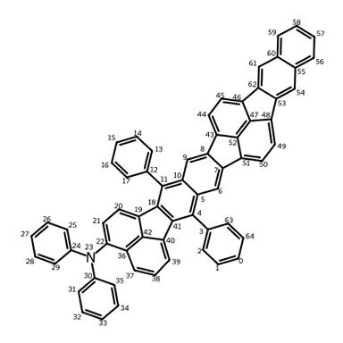 c1ccc(-c2c3cc4c(cc3c(-c3ccccc3)c3c5ccc(N(c6ccccc6)c6ccccc6)c6cccc(c23)c65)c2ccc3c5c(ccc4c52)-c2cc4ccccc4cc2-3)cc1